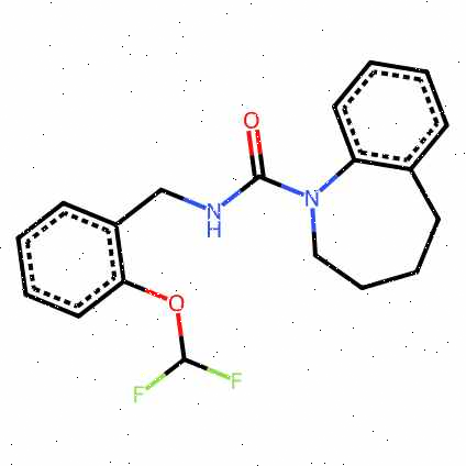 O=C(NCc1ccccc1OC(F)F)N1CCCCc2ccccc21